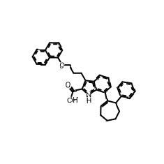 O=C(O)c1[nH]c2c(C3=CCCCCC3c3ccccc3)cccc2c1CCCOc1cccc2ccccc12